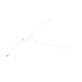 CCCCCCCCC=CCCCCCCCC(=O)OC(COCCCCCCCCCCCCCCCCCCCCCC)COC(=O)CCCCCCCCCCCCCCCCC